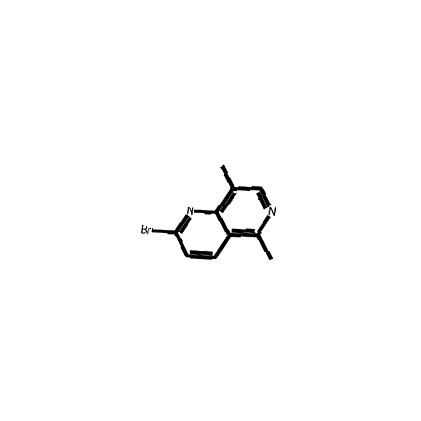 Cc1ncc(C)c2nc(Br)ccc12